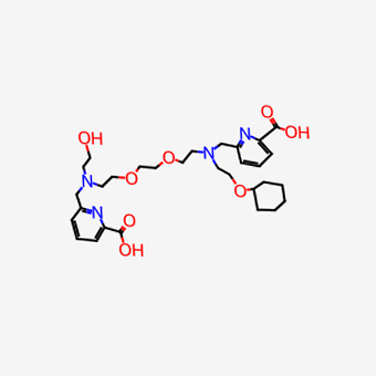 O=C(O)c1cccc(CN(CCO)CCOCCOCCN(CCOC2CCCCC2)Cc2cccc(C(=O)O)n2)n1